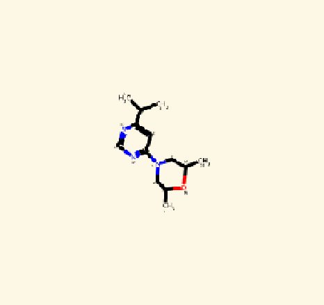 CC1CN(c2cc(C(C)C)ncn2)CC(C)O1